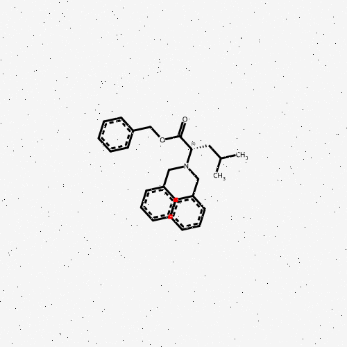 CC(C)C[C@@H](C(=O)OCc1ccccc1)N(Cc1ccccc1)Cc1ccccc1